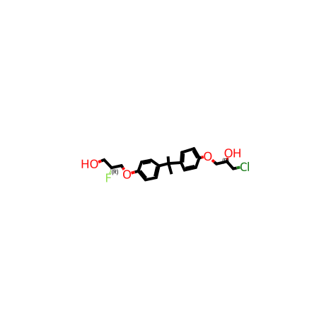 CC(C)(c1ccc(OC[C@@H](O)CCl)cc1)c1ccc(OC[C@H](F)CO)cc1